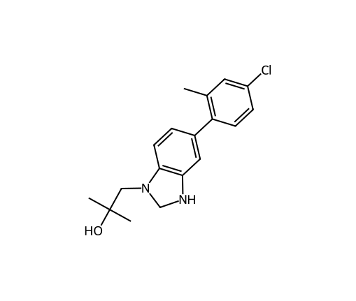 Cc1cc(Cl)ccc1-c1ccc2c(c1)NCN2CC(C)(C)O